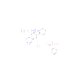 Cc1c2ccncc2c(C)c2c1[nH]c1ccc(CCCN3C(=O)c4ccccc4C3=O)cc12